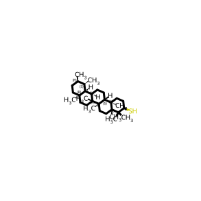 C[C@@H]1[C@H]2[C@H]3CC[C@@H]4[C@@]5(C)CCC(S)C(C)(C)[C@]5(C)CC[C@@]4(C)[C@]3(C)CC[C@@]2(C)CC[C@H]1C